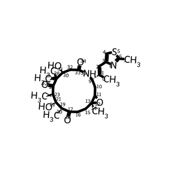 C/C(=C\c1csc(C)n1)[C@@H]1CC2O[C@]2(C)CCC(=O)[C@H](C)[C@H](O)[C@@H](C)C(=O)C(C)(C)[C@@H](O)CC(=O)N1